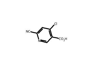 N#Cc1cc(Cl)c(C(=O)O)cn1